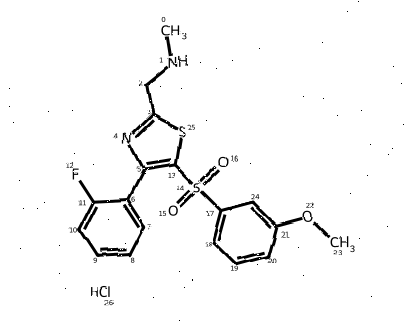 CNCc1nc(-c2ccccc2F)c(S(=O)(=O)c2cccc(OC)c2)s1.Cl